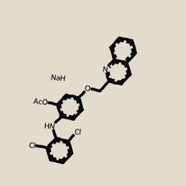 CC(=O)Oc1cc(OCc2ccc3ccccc3n2)ccc1Nc1c(Cl)cccc1Cl.[NaH]